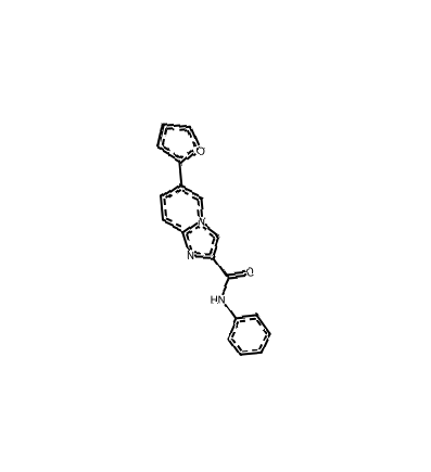 O=C(Nc1ccccc1)c1cn2cc(-c3ccco3)ccc2n1